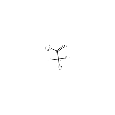 CCC(F)(F)C(=O)C(F)(F)F